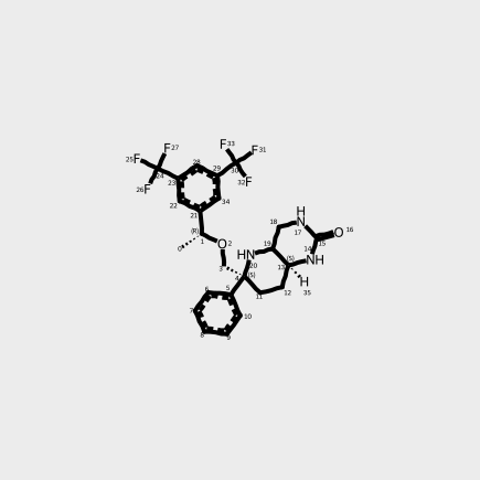 C[C@@H](OC[C@@]1(c2ccccc2)CC[C@@H]2NC(=O)NCC2N1)c1cc(C(F)(F)F)cc(C(F)(F)F)c1